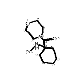 CC(C)NC1(C(=O)N2CCOCC2)CCCCC1